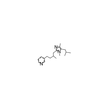 Cc1nc(CC(C)CCc2cccnc2)n(C)c1CC(C)C